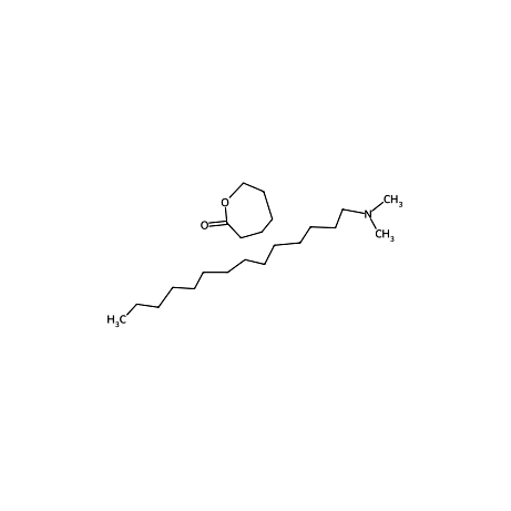 CCCCCCCCCCCCCCN(C)C.O=C1CCCCCO1